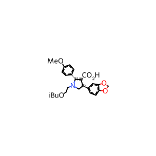 COc1ccc([C@@H]2[C@@H](C(=O)O)[C@@H](c3ccc4c(c3)OCO4)CN2CCOCC(C)C)cc1